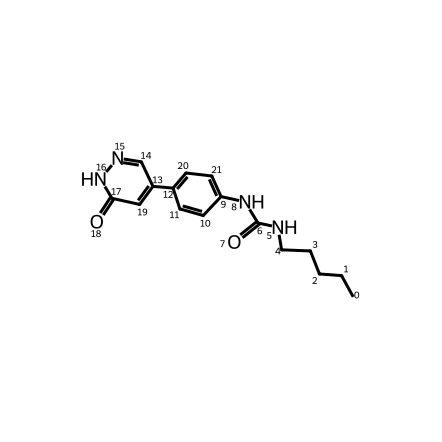 CCCCCNC(=O)Nc1ccc(-c2cn[nH]c(=O)c2)cc1